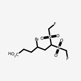 O=C(O)CCC(Br)CC(S(=O)(=O)CF)S(=O)(=O)CF